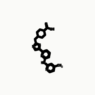 Cc1ccnc(Nc2cccc(-c3cnc(CC4CCC(C(=O)O)CC4)s3)n2)c1